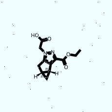 CCOC(=O)c1nn(CC(=O)O)c2c1[C@@H]1C[C@@H]1C2